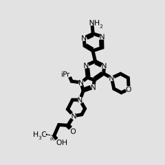 CC(C)Cn1c(N2CCN(C(=O)C[C@@H](C)O)CC2)nc2c(N3CCOCC3)nc(-c3cnc(N)nc3)nc21